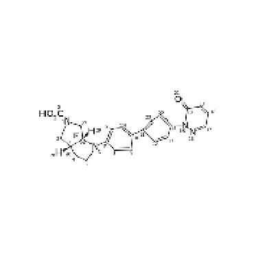 O=C(O)N1C[C@H]2CCN(c3ccc(-c4ccc(-n5ncccc5=O)cc4)cc3)[C@H]2C1